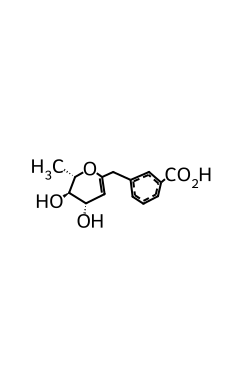 C[C@@H]1OC(Cc2cccc(C(=O)O)c2)=C[C@H](O)[C@H]1O